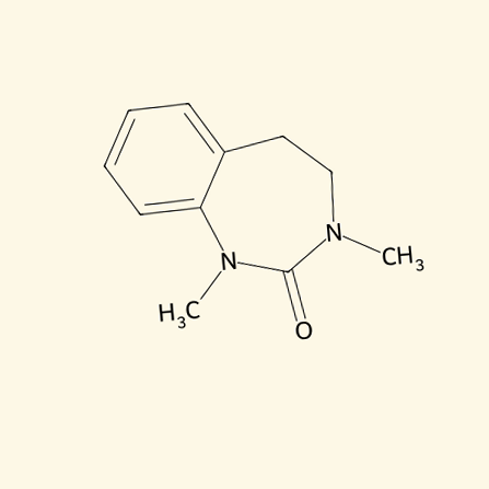 CN1CCc2ccccc2N(C)C1=O